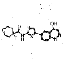 O=C(Nc1ncc(-c2ccc3nncc(O)c3c2)s1)C1(F)CCOCC1